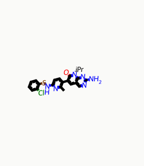 Cc1nc(NSc2ccccc2Cl)ccc1-c1cc2cnc(N)nc2n(C(C)C)c1=O